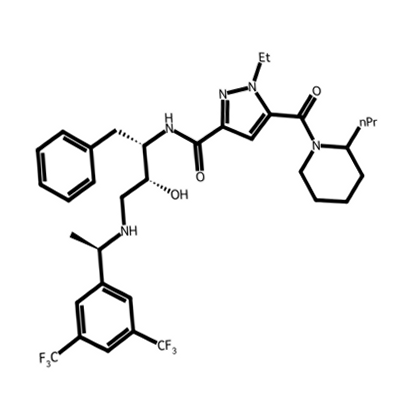 CCCC1CCCCN1C(=O)c1cc(C(=O)N[C@@H](Cc2ccccc2)[C@H](O)CN[C@H](C)c2cc(C(F)(F)F)cc(C(F)(F)F)c2)nn1CC